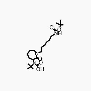 CC(C)(C)OC(=O)NCCCCCCN1CCCCC(N(C(=O)O)C(C)(C)C)C1=O